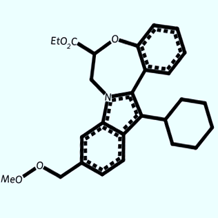 CCOC(=O)C1Cn2c(c(C3CCCCC3)c3ccc(COOC)cc32)-c2ccccc2O1